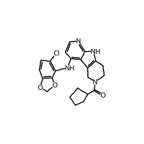 O=C(C1CCCC1)N1CCc2[nH]c3nccc(Nc4c(Cl)ccc5c4OCO5)c3c2C1